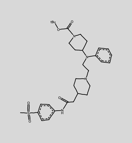 CC(C)(C)OC(=O)N1CCC(N(CCN2CCC(CC(=O)Nc3ccc(S(C)(=O)=O)cc3)CC2)c2ccccc2)CC1